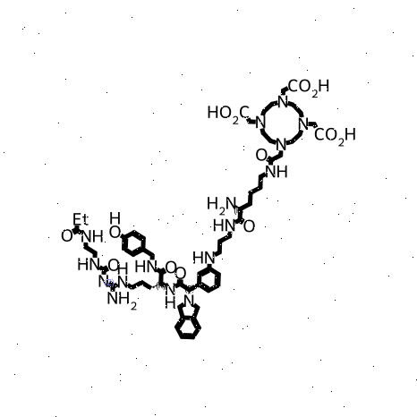 CCC(=O)NCCNC(=O)/N=C(/N)NCCC[C@@H](NC(=O)[C@H](c1cccc(NCCCNC(=O)[C@H](N)CCCCNC(=O)CN2CCN(CC(=O)O)CCN(CC(=O)O)CCN(CC(=O)O)CC2)c1)N1Cc2ccccc2C1)C(=O)NCc1ccc(O)cc1